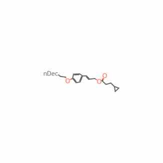 CCCCCCCCCCCCOc1ccc(/C=C/COC(=O)CCC2CC2)cc1